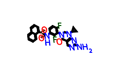 Nc1ncc2c(n1)N(C1CC1)CN(c1c(F)ccc(NS(=O)(=O)c3cccc4ccccc34)c1F)C2=O